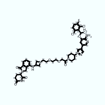 CC(Oc1cc(-c2cnn(C3CCN(C(=O)COCCOCCN4CC(Nc5cccc6c5CN(C5CCC(=O)NC5=O)C6=O)C4)CC3)c2)cnc1N)c1c(Cl)ccc(F)c1Cl